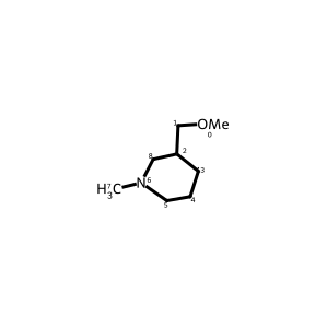 COCC1[CH]CCN(C)C1